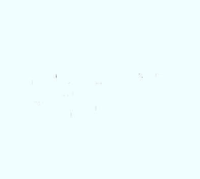 CC(=O)Nc1ccc(O[C@H]2OC(CO)C(O[C@H]3OC(CO)C(O)C(O)[C@H]3O)C(O)C2O)cc1